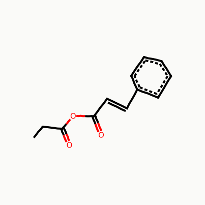 CCC(=O)OC(=O)C=Cc1ccccc1